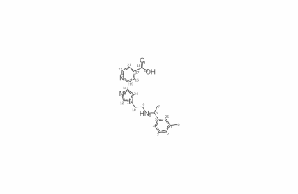 Cc1cccc(C(C)NCCn2cnc(-c3cc(C(=O)O)ccn3)c2)c1